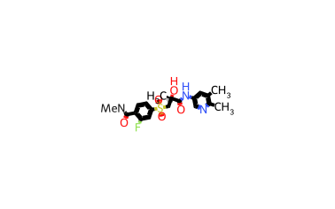 CNC(=O)c1ccc(S(=O)(=O)C[C@](C)(O)C(=O)Nc2cnc(C)c(C)c2)cc1F